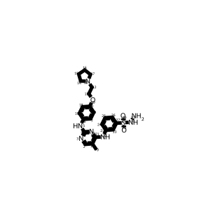 Cc1cnc(Nc2ccc(OCCN3CCCC3)cc2)nc1Nc1cccc(S(=O)(=O)NN)c1